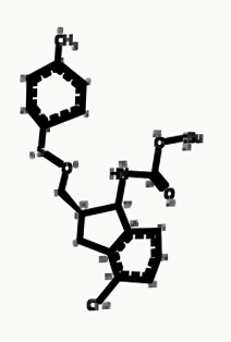 Cc1ccc(SOC[C@@H]2Cc3c(Cl)cccc3C2NC(=O)OC(C)(C)C)cc1